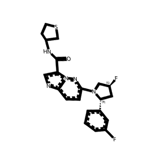 O=C(NC1CCSC1)c1cnc2ccc(N3C[C@@H](F)C[C@@H]3c3cccc(F)c3)nn12